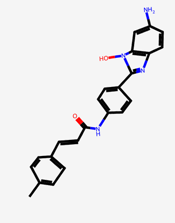 Cc1ccc(/C=C/C(=O)Nc2ccc(-c3nc4ccc(N)cc4n3O)cc2)cc1